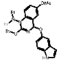 CCOC1=NC(Oc2ccc3[nH]ccc3c2)c2cc(OC)ccc2N1N(CC)CC